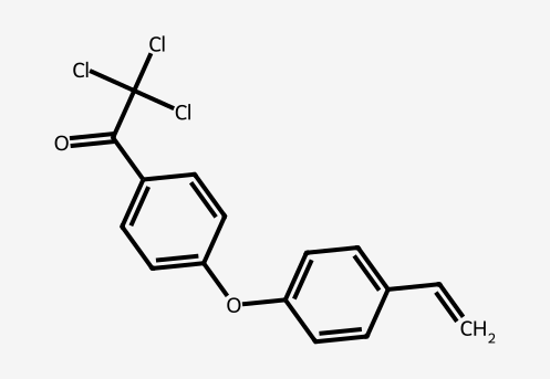 C=Cc1ccc(Oc2ccc(C(=O)C(Cl)(Cl)Cl)cc2)cc1